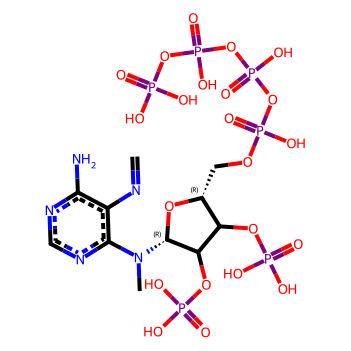 C=Nc1c(N)ncnc1N(C)[C@@H]1O[C@H](COP(=O)(O)OP(=O)(O)OP(=O)(O)OP(=O)(O)O)C(OP(=O)(O)O)C1OP(=O)(O)O